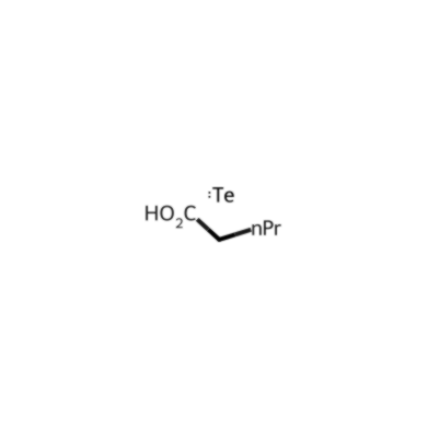 CCCCC(=O)O.[Te]